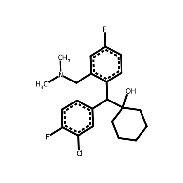 CN(C)Cc1cc(F)ccc1C(c1ccc(F)c(Cl)c1)C1(O)CCCCC1